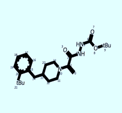 C=C(C(=O)NNC(=O)OC(C)(C)C)N1CCC(Cc2ccccc2C(C)(C)C)CC1